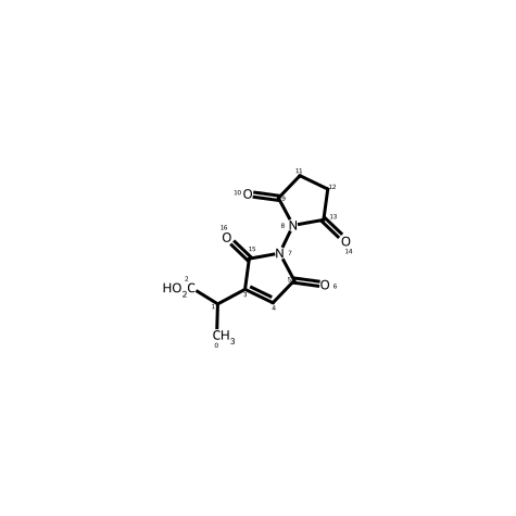 CC(C(=O)O)C1=CC(=O)N(N2C(=O)CCC2=O)C1=O